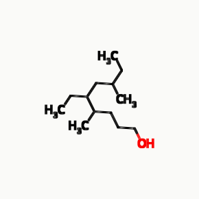 CCC(C)CC(CC)C(C)CCCO